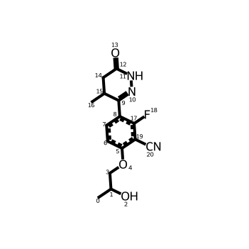 CC(O)COc1ccc(C2=NNC(=O)CC2C)c(F)c1C#N